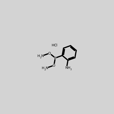 Cl.NOB(ON)c1ccccc1N